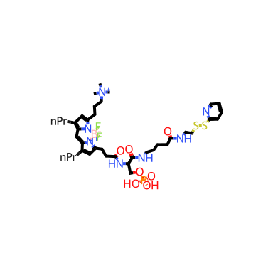 CCCC1=CC(CCC(=O)NC(COP(=O)(O)O)C(=O)NCCCCC(=O)NCCSSc2ccccn2)=[N+]2C1=Cc1c(CCC)cc(CCC[N+](C)(C)C)n1[B-]2(F)F